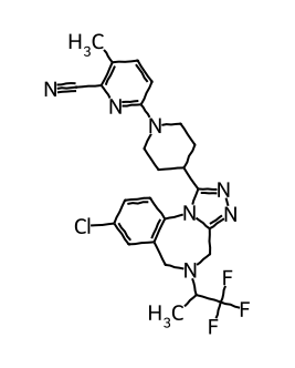 Cc1ccc(N2CCC(c3nnc4n3-c3ccc(Cl)cc3CN(C(C)C(F)(F)F)C4)CC2)nc1C#N